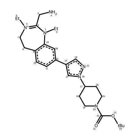 CCN1C(CN)=[N+](CC)CCc2ccc(-c3cnn(C4CCN(C(=O)OC(C)(C)C)CC4)c3)cc21